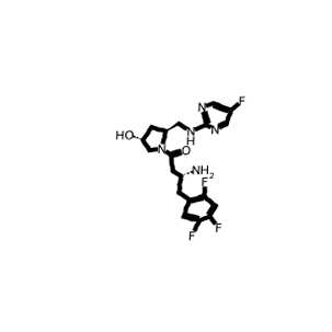 N[C@@H](CC(=O)N1C[C@H](O)C[C@H]1CNc1ncc(F)cn1)Cc1cc(F)c(F)cc1F